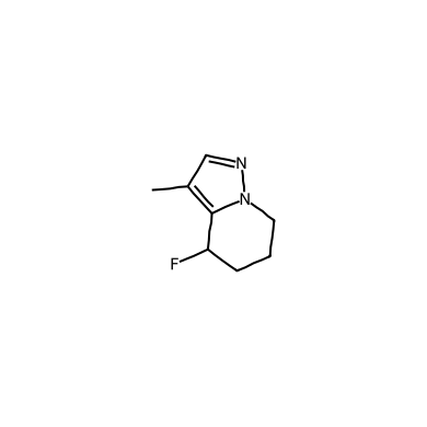 Cc1cnn2c1C(F)CCC2